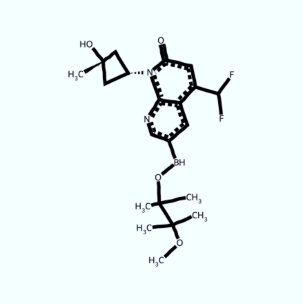 COC(C)(C)C(C)(C)OBc1cnc2c(c1)c(C(F)F)cc(=O)n2[C@H]1C[C@@](C)(O)C1